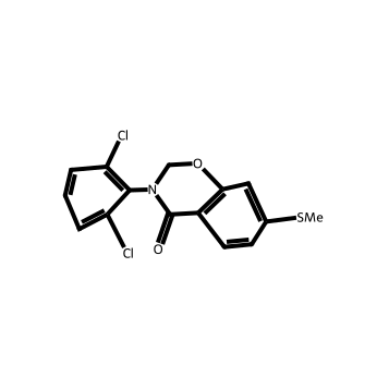 CSc1ccc2c(c1)OCN(c1c(Cl)cccc1Cl)C2=O